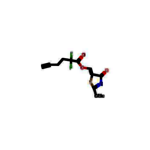 C#CCCC(F)(F)C(=O)O/C=C1\SC(OC)=NC1=O